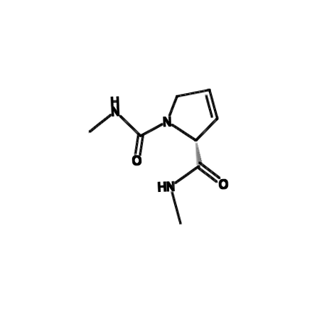 CNC(=O)[C@H]1C=CCN1C(=O)NC